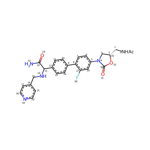 CC(=O)NC[C@H]1CN(c2ccc(-c3ccc(C(NCc4ccncc4)C(N)=O)cc3)c(F)c2)C(=O)O1